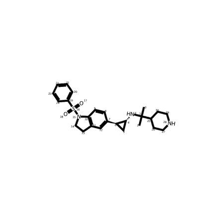 CC(C)(N[C@@H]1C[C@H]1c1ccc2c(c1)CCN2S(=O)(=O)c1ccccc1)C1CCNCC1